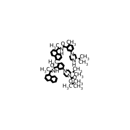 Cc1ccc(N2CCN(C(=O)OC(C)(C)C)[C@@H](C(C)C)C2)cc1C(=O)N[C@H](C)c1cccc2ccccc12.Cc1ccc(N2CCN[C@@H](C(C)C)C2)cc1C(=O)N[C@H](C)c1cccc2ccccc12